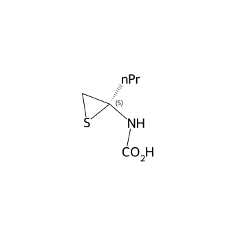 CCC[C@@]1(NC(=O)O)CS1